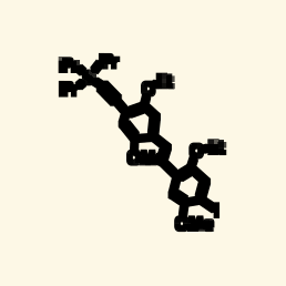 CCOc1cc(C=Cc2cc(OC)c(I)cc2OCC)c(OC)cc1C#C[Si](C(C)C)(C(C)C)C(C)C